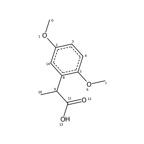 COc1ccc(OC)c(C(C)C(=O)O)c1